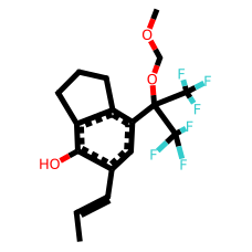 CC=Cc1cc(C(OCOC)(C(F)(F)F)C(F)(F)F)c2c(c1O)CCC2